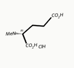 CN[C@H](CCC(=O)O)C(=O)O.Cl